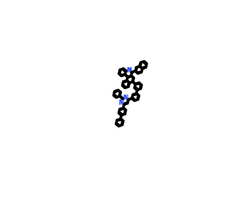 c1ccc(-c2ccc(-c3cc(-c4cccc(-c5cccc(-c6cc7c(-c8ccc9ccccc9c8)nc8ccccc8c7c7ccccc67)c5)c4)nc(-c4ccccc4)n3)cc2)cc1